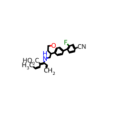 C=C/C(NCC1CCOc2cc(-c3ccc(C#N)cc3F)ccc21)=C(\C=C/C)C(=O)O